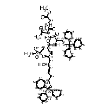 COC(=O)CNC(=O)[C@H](NC(=O)[C@@H](CSC(c1ccccc1)(c1ccccc1)c1ccccc1)NC(=O)[C@@H](CCS(C)(=O)=O)NC(=O)C[C@H](O)C=CCCSC(c1ccccc1)(c1ccccc1)c1ccccc1)C(C)C